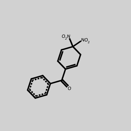 O=C(C1=CCC([N+](=O)[O-])([N+](=O)[O-])C=C1)c1ccccc1